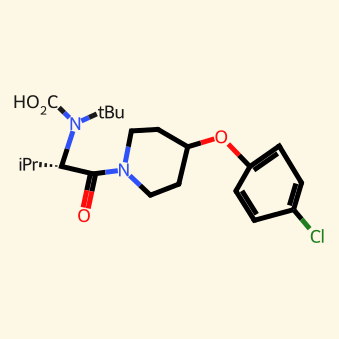 CC(C)[C@@H](C(=O)N1CCC(Oc2ccc(Cl)cc2)CC1)N(C(=O)O)C(C)(C)C